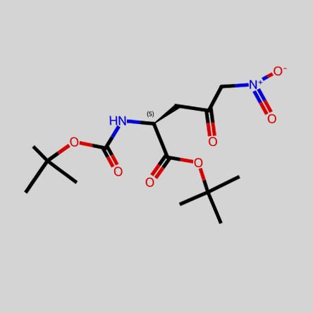 CC(C)(C)OC(=O)N[C@@H](CC(=O)C[N+](=O)[O-])C(=O)OC(C)(C)C